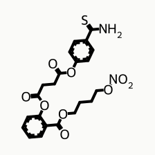 NC(=S)c1ccc(OC(=O)CCC(=O)Oc2ccccc2C(=O)OCCCCO[N+](=O)[O-])cc1